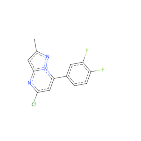 Cc1cc2nc(Cl)cc(-c3ccc(F)c(F)c3)n2n1